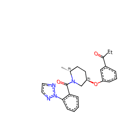 CCC(=O)c1cccc(O[C@@H]2CC[C@@H](C)N(C(=O)c3ccccc3-n3nccn3)C2)c1